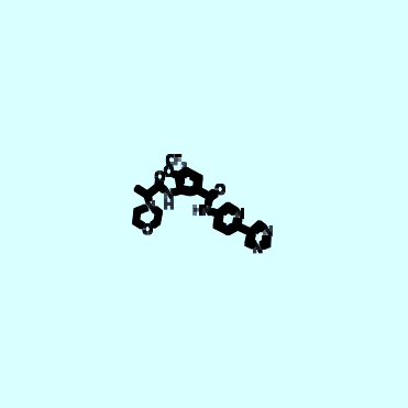 CC(C(=O)Nc1cc(C(=O)Nc2ccc(-c3cncnc3)nc2)ccc1OC(F)(F)F)N1CCOCC1